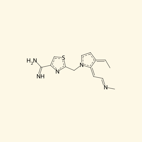 C/C=c1/ccn(Cc2nc(C(=N)N)cs2)/c1=C/C=N/C